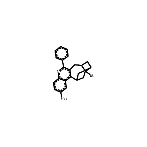 CCC12CC3CC1CC2Cc1c(-c2ccccc2)nc2ccc(C(C)(C)C)cc2c13